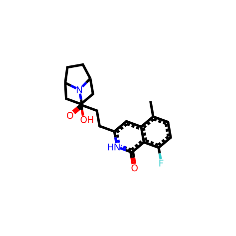 Cc1ccc(F)c2c(=O)[nH]c(CCC(=O)N3C4CCC3CC(O)C4)cc12